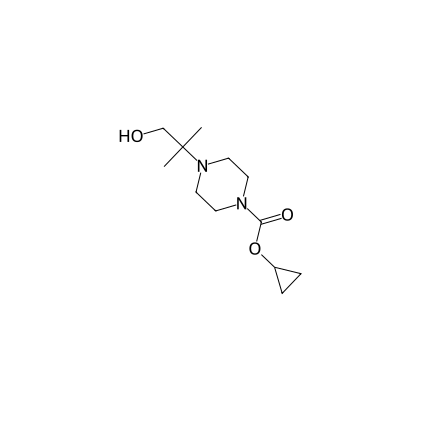 CC(C)(CO)N1CCN(C(=O)OC2CC2)CC1